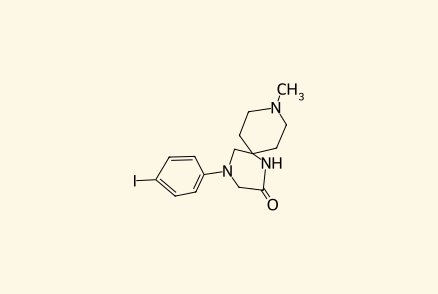 CN1CCC2(CC1)CN(c1ccc(I)cc1)CC(=O)N2